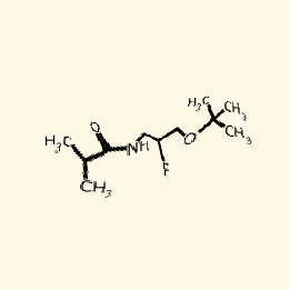 CC(C)C(=O)NCC(F)COC(C)(C)C